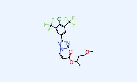 COCCC(C)OC(=O)/C=C\n1cnc(-c2cc(C(F)(F)F)c(Cl)c(C(F)(F)F)c2)n1